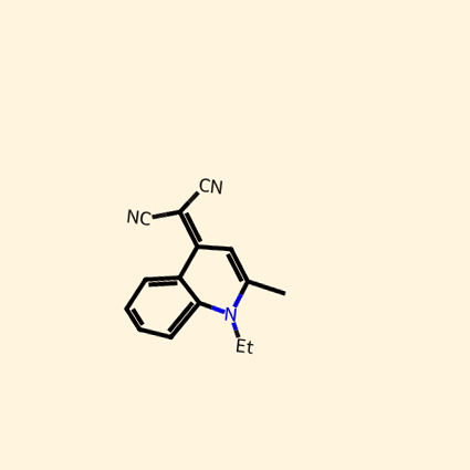 CCN1C(C)=CC(=C(C#N)C#N)c2ccccc21